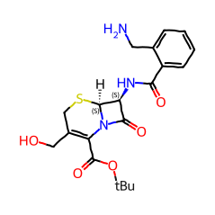 CC(C)(C)OC(=O)C1=C(CO)CS[C@H]2[C@@H](NC(=O)c3ccccc3CN)C(=O)N12